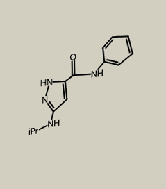 CC(C)Nc1cc(C(=O)Nc2ccccc2)[nH]n1